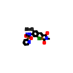 COc1cc(/C=C2\SC(=O)N(C)C2=O)c(Br)cc1NS(=O)(=O)c1ccccn1